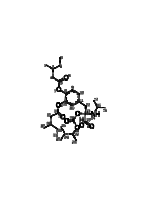 CCC(C)CC(=O)Oc1ccc(C[C@](NC(C)C)(OC(=O)OC(C)C(C)C)C(=O)O)cc1OC(=O)CC(C)CC